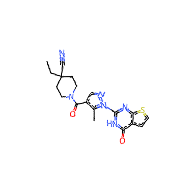 CCC1(C#N)CCN(C(=O)c2cnn(-c3nc4sccc4c(=O)[nH]3)c2C)CC1